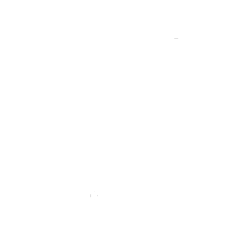 COc1cc2ccc(F)cc2cc1C